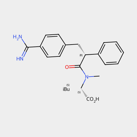 CC[C@H](C)[C@@H](C(=O)O)N(C)C(=O)[C@H](Cc1ccc(C(=N)N)cc1)c1ccccc1